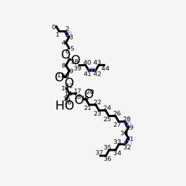 CC/C=C\CCOC(CCC(=O)OCC(CO)COC(=O)CCCCCCC/C=C\C/C=C\CCCCC)OCC/C=C\CC